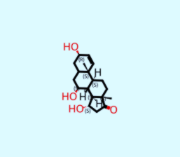 C[C@]12C=C[C@H](O)CC1C[C@H](O)[C@H]1[C@@H]3[C@@H](O)CC(=O)[C@@]3(C)CC[C@@H]12